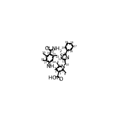 Cc1cc(C(=O)O)c(C)n1Cc1csc(-c2ccccc2)n1.Cc1cc(N)c(C)c(C)c1C(N)=O